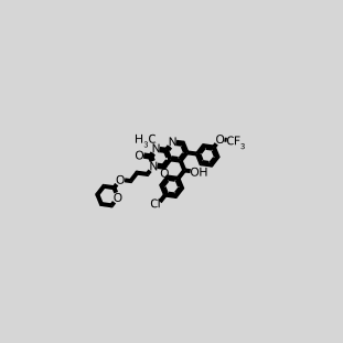 Cn1c(=O)n(CCCOC2CCCCO2)c(=O)c2c(C(O)c3ccc(Cl)cc3)c(-c3cccc(OC(F)(F)F)c3)cnc21